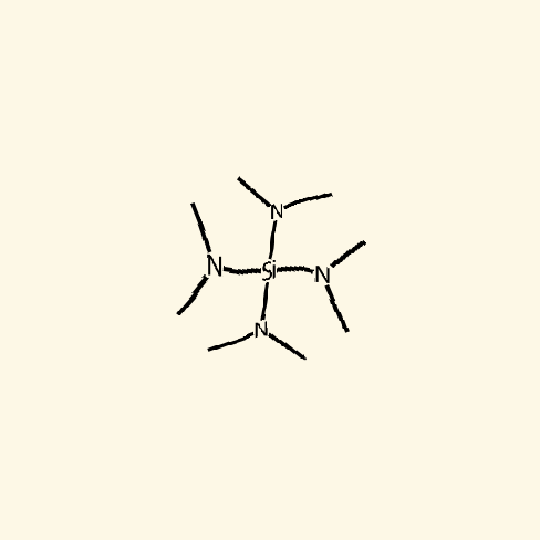 CN(C)[Si](N(C)C)(N(C)C)N(C)C